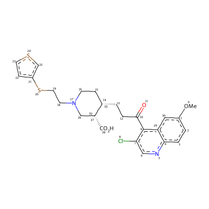 COc1ccc2ncc(Cl)c(C(=O)CC[C@H]3CCN(CCSc4ccsc4)C[C@H]3C(=O)O)c2c1